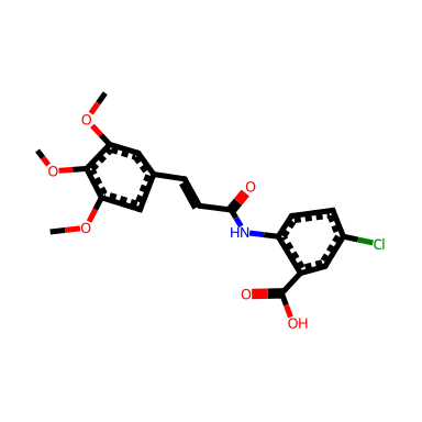 COc1cc(C=CC(=O)Nc2ccc(Cl)cc2C(=O)O)cc(OC)c1OC